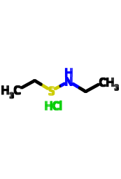 CCNSCC.Cl